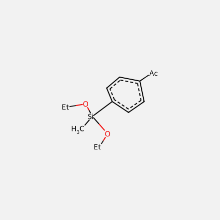 CCO[Si](C)(OCC)c1ccc(C(C)=O)cc1